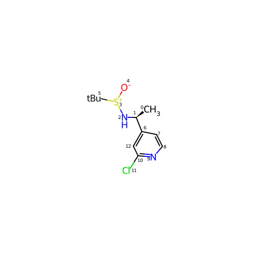 C[C@H](N[S+]([O-])C(C)(C)C)c1ccnc(Cl)c1